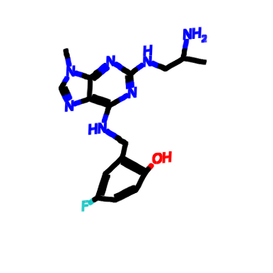 CC(N)CNc1nc(NCc2cc(F)ccc2O)c2ncn(C)c2n1